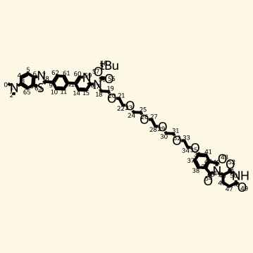 CN(C)c1ccc2nc(-c3ccc(-c4ccc(N(CCOCCOCCOCCOCCOCCOc5ccc6c(c5)C(=O)N(C5CCC(=O)NC5=O)C6=O)C(=O)OC(C)(C)C)nc4)cc3)sc2c1